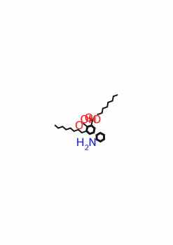 CCCCCCCCOC(=O)c1cccc(CCCCCCCC)c1C(=O)O.Nc1ccccc1